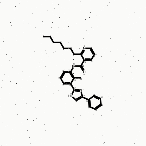 CCCCCCCc1ncccc1C(=O)Nc1cccc(-c2nc(-c3ccccc3)c[nH]2)c1C